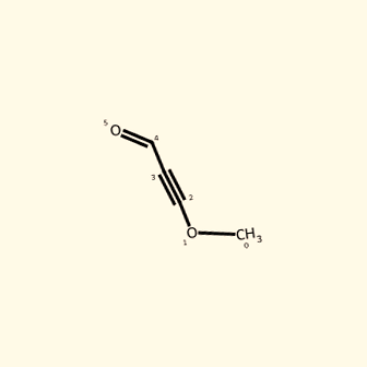 COC#CC=O